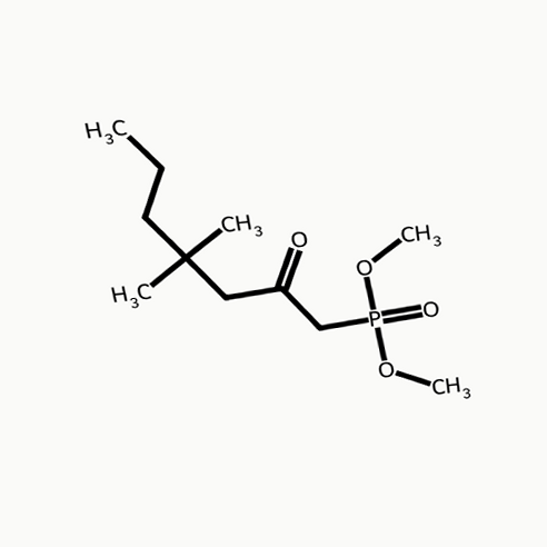 CCCC(C)(C)CC(=O)CP(=O)(OC)OC